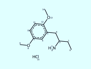 CCC(N)Cc1cc(OC)ccc1OC.Cl